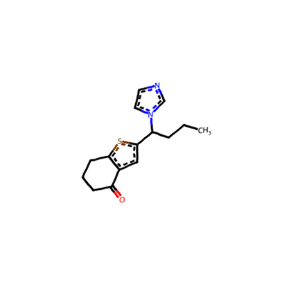 CCCC(c1cc2c(s1)CCCC2=O)n1ccnc1